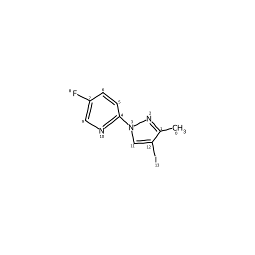 Cc1nn(-c2ccc(F)cn2)cc1I